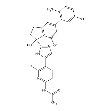 CC(=O)Nc1ccc(-c2cnc(C3(O)CCc4cc(-c5cc(Cl)ccc5N)c[n+]([O-])c43)[nH]2)c(F)n1